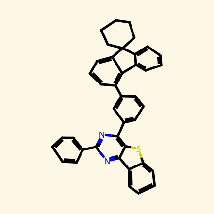 c1ccc(-c2nc(-c3cccc(-c4cccc5c4-c4ccccc4C54CCCCC4)c3)c3sc4ccccc4c3n2)cc1